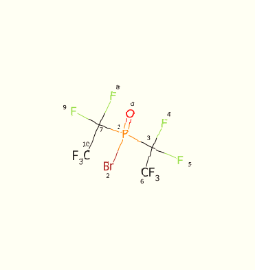 O=P(Br)(C(F)(F)C(F)(F)F)C(F)(F)C(F)(F)F